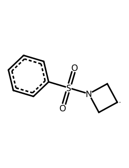 O=S(=O)(c1ccccc1)N1C[CH]C1